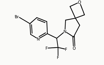 O=C1CC2(COC2)CN1C(c1ccc(Br)cn1)C(F)(F)F